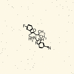 Cc1c([C@@H](Nc2nc3ccc(C#N)cc3[nH]2)C(C)C)oc2ccc(F)cc12